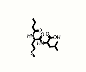 CCCC(=O)NC(CCSC)C(=O)NC(CC(C)C)C(=O)O